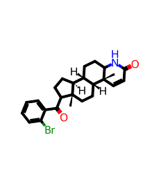 C[C@]12C=CC(=O)NC1CC[C@@H]1[C@H]2CC[C@]2(C)C(C(=O)c3ccccc3Br)CC[C@@H]12